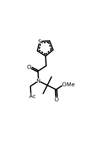 COC(=O)C(C)(C)N(CC(C)=O)C(=O)Cc1ccsc1